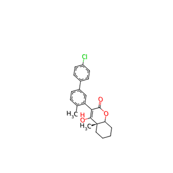 Cc1ccc(-c2ccc(Cl)cc2)cc1C1=C(O)[C@@]2(C)CCCCC2OC1=O